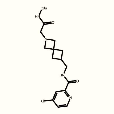 CC(C)(C)NC(=O)CN1CC2(CC(CNC(=O)c3cc(Cl)ccn3)C2)C1